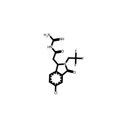 N=C(N)NC(=O)CC1c2ccc(Cl)cc2C(=O)N1CC(F)(F)F